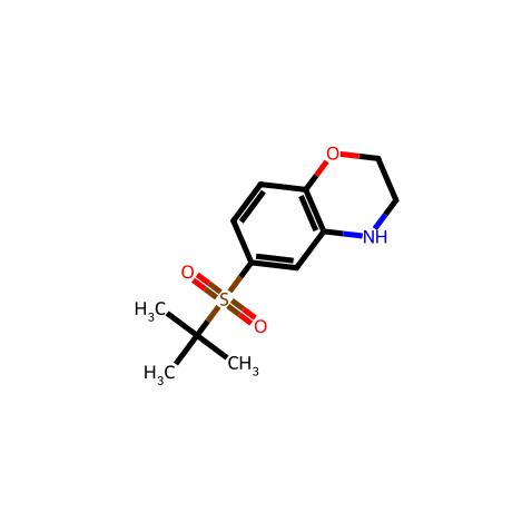 CC(C)(C)S(=O)(=O)c1ccc2c(c1)NCCO2